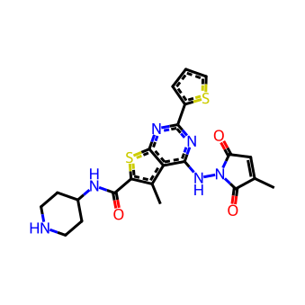 CC1=CC(=O)N(Nc2nc(-c3cccs3)nc3sc(C(=O)NC4CCNCC4)c(C)c23)C1=O